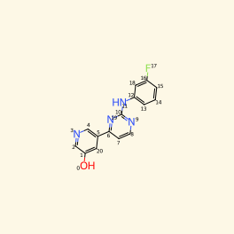 Oc1cncc(-c2ccnc(Nc3cccc(F)c3)n2)c1